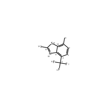 Cc1ccc(C(F)(F)F)c2nc(I)sc12